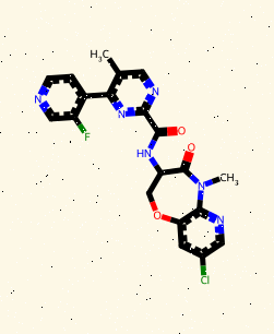 Cc1cnc(C(=O)NC2COc3cc(Cl)cnc3N(C)C2=O)nc1-c1ccncc1F